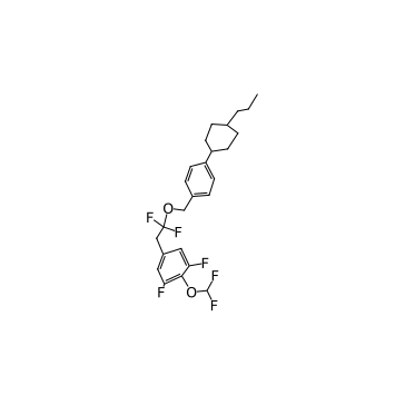 CCCC1CCC(c2ccc(COC(F)(F)Cc3cc(F)c(OC(F)F)c(F)c3)cc2)CC1